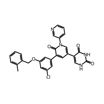 Cc1ccccc1COc1cc(Cl)cc(-c2cc(-c3c[nH]c(=O)[nH]c3=O)cn(-c3cccnc3)c2=O)c1